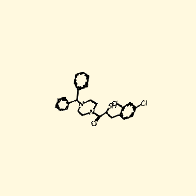 O=C(C(S)Cc1ccc(Cl)cc1Cl)N1CCN(C(c2ccccc2)c2ccccc2)CC1